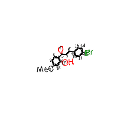 COc1ccc(C(=O)/C=C/c2ccc(Br)cc2)c(O)c1